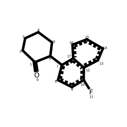 O=C1CCCCC1c1ccc(F)c2ccccc12